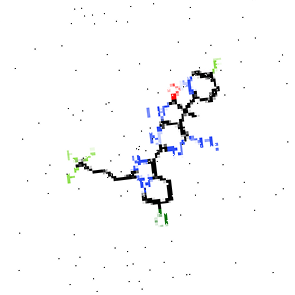 CC1(c2ccc(F)cn2)C(=O)Nc2nc(-c3nc(CCCC(F)(F)F)n4cc(Cl)ccc34)nc(N)c21